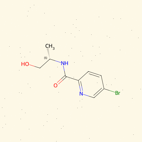 C[C@@H](CO)NC(=O)c1ccc(Br)cn1